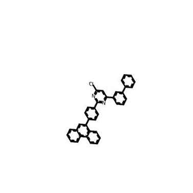 Clc1cc(-c2cccc(-c3ccccc3)c2)nc(-c2ccc(-c3cc4ccccc4c4ccccc34)cc2)n1